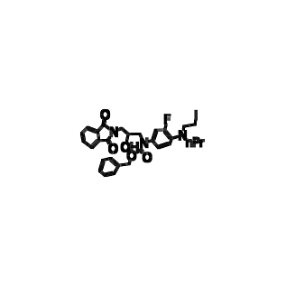 CCCN(CCI)c1ccc(N(CC(O)CN2C(=O)c3ccccc3C2=O)C(=O)OCc2ccccc2)cc1F